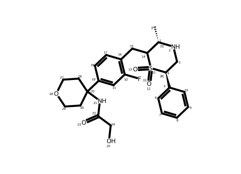 C[C@@H]1NC[C@@H](c2ccccc2)S(=O)(=O)C1Cc1ccc(C2(NC(=O)CO)CCOCC2)cc1F